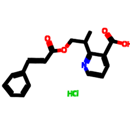 CC(COC(=O)C=Cc1ccccc1)c1ncccc1C(=O)O.Cl